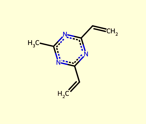 C=Cc1nc(C)nc(C=C)n1